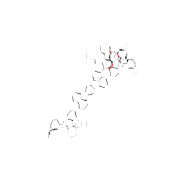 CC12CCCCC1(C)N(c1cccc(F)c1)c1ccc(-c3ccc4c5cc6c(cc5c5cccc3c54)c3ccc(-c4ccc5c(c4)C4(C)CCCCC4(C)N5c4cccc(F)c4)c4c(-c5ccc7c(c5)C5(C)CCCCC5(C)N7c5cccc(F)c5)ccc6c43)cc12